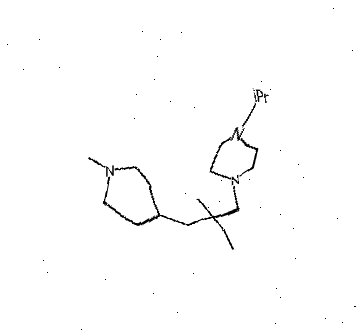 CC(C)N1CCN(CC(C)(C)CC2CCN(C)CC2)CC1